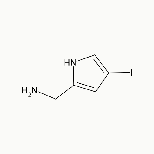 NCc1cc(I)c[nH]1